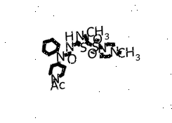 CC(=O)N1CCC(N(C(=O)Nc2nc(C)c(S(=O)(=O)N3CCN(C)CC3)s2)C2CCCCC2)CC1